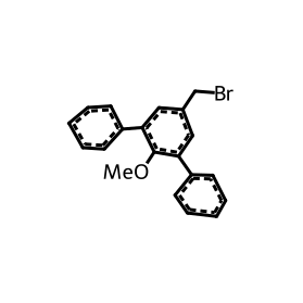 COc1c(-c2ccccc2)cc(CBr)cc1-c1ccccc1